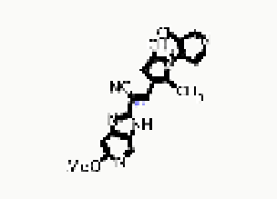 COc1cc2nc(/C(C#N)=C/c3cc(C)n(-c4ccncc4Cl)c3C)[nH]c2cn1